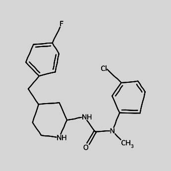 CN(C(=O)NC1CC(Cc2ccc(F)cc2)CCN1)c1cccc(Cl)c1